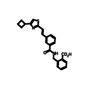 O=C(NCc1ccccc1C(=O)O)c1cccc(C=Cc2nc(C3CCC3)cs2)c1